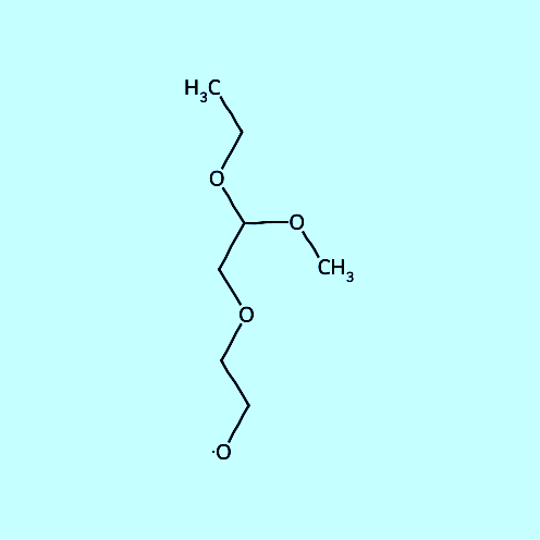 CCOC(COCC[O])OC